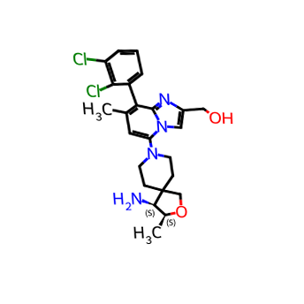 Cc1cc(N2CCC3(CC2)CO[C@@H](C)[C@H]3N)n2cc(CO)nc2c1-c1cccc(Cl)c1Cl